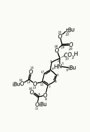 CCC(C)N[C@@](Cc1ccc(OC(=O)OCC(C)C)c(OC(=O)OCC(C)C)c1)(OC(=O)OC(C)(C)C)C(=O)O